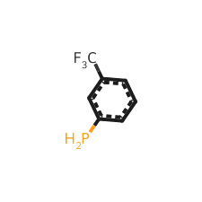 FC(F)(F)c1cccc(P)c1